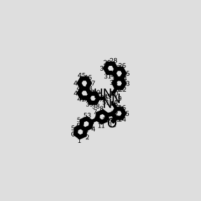 c1ccc2cc(-c3ccc4c(c3)oc3cccc(C5=NC(c6ccc7ccc8ccccc8c7c6)NC(c6ccc7ccc8ccccc8c7c6)=N5)c34)ccc2c1